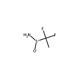 CC(F)(F)[S+](N)[O-]